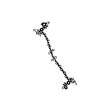 Cc1nn(-c2ccc(C(N)=O)c(C(N)CCOCCOCCOCCOCCOCCCNC(=O)CCSSCCC(=O)NCCCOCCOCCOCCOCCOCCC(N)c3cc(-n4nc(C)c5c4CC(C)(C)CC5=O)ccc3C(N)=O)c2)c2c1C(=O)CC(C)(C)C2